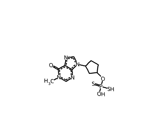 Cn1cnc2c(ncn2C2CCC(OP(O)(=S)S)C2)c1=O